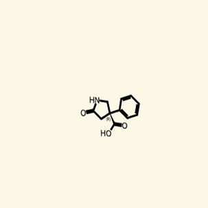 O=C1C[C@@](C(=O)O)(c2ccccc2)CN1